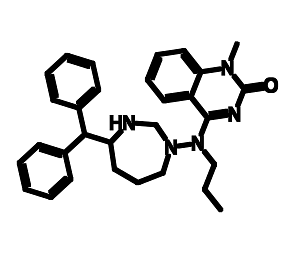 CCCN(c1nc(=O)n(C)c2ccccc12)N1CCCC(C(c2ccccc2)c2ccccc2)NC1